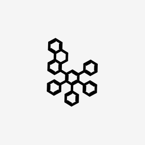 c1ccc(-c2cc(-c3cccc4c3CCc3ccccc3-4)c(-c3ccccc3)c(-c3ccccc3)c2-c2ccccc2)cc1